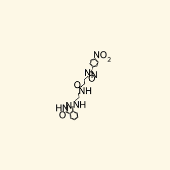 O=C(CCc1nc(-c2ccc([N+](=O)[O-])cc2)no1)NCCCNc1n[nH]c(=O)c2ccccc12